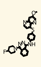 COc1cnc2c(Sc3ccc(Nc4nnc(N5CCC(F)CC5)c5ccccc45)cc3)ccnc2c1